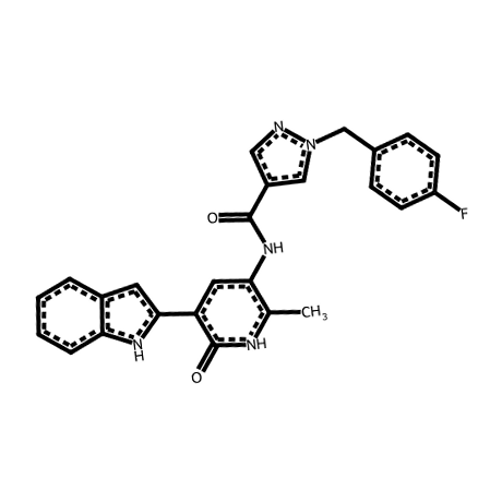 Cc1[nH]c(=O)c(-c2cc3ccccc3[nH]2)cc1NC(=O)c1cnn(Cc2ccc(F)cc2)c1